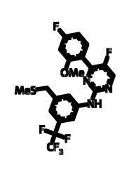 COc1cc(F)ccc1-c1nc(Nc2cc(CSC)cc(C(F)(F)C(F)(F)F)c2)ncc1F